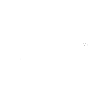 COCCCc1cncs1